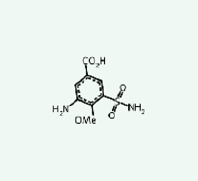 COc1c(N)cc(C(=O)O)cc1S(N)(=O)=O